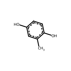 Cc1cc(O)[c]cc1O